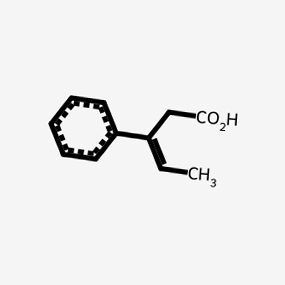 CC=C(CC(=O)O)c1ccccc1